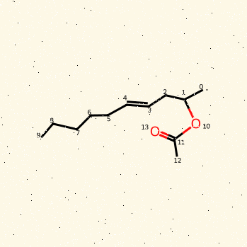 [CH2]C(CC=CCCCCC)OC(C)=O